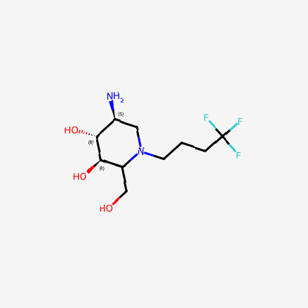 N[C@H]1CN(CCCC(F)(F)F)C(CO)[C@@H](O)[C@@H]1O